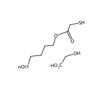 CCCCCCCCCCCCOC(=O)CS.O=C(O)CO